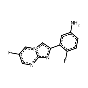 Nc1ccc(F)c(-c2cn3cc(F)cnc3n2)c1